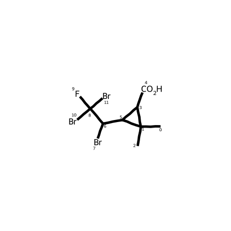 CC1(C)C(C(=O)O)C1C(Br)C(F)(Br)Br